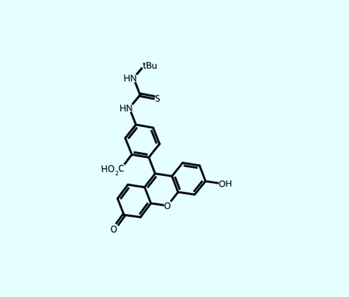 CC(C)(C)NC(=S)Nc1ccc(-c2c3ccc(=O)cc-3oc3cc(O)ccc23)c(C(=O)O)c1